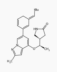 Cc1cc2c(O[C@H](C)[C@H]3CNC(=O)C3)cc(C3=C/C(=C/C(C)(C)C)CC=C3)cn2n1